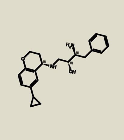 N[C@@H](Cc1ccccc1)[C@H](O)CN[C@H]1CCOc2ccc(C3CC3)cc21